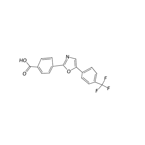 O=C(O)c1ccc(-c2ncc(-c3ccc(C(F)(F)F)cc3)o2)cc1